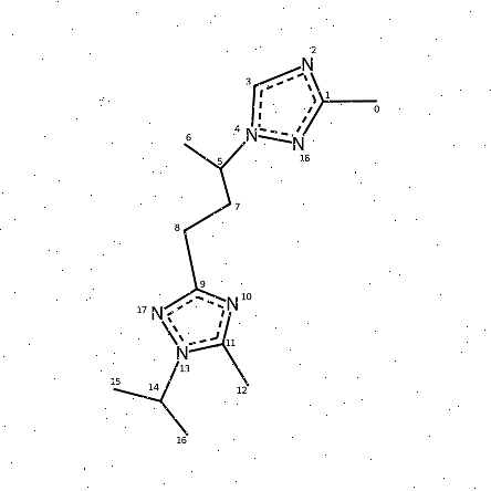 Cc1ncn(C(C)CCc2nc(C)n(C(C)C)n2)n1